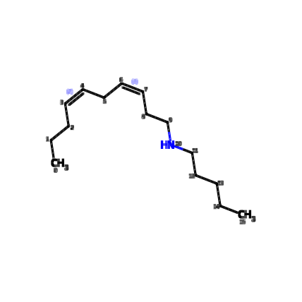 CCC/C=C\C/C=C\CCNCCCCC